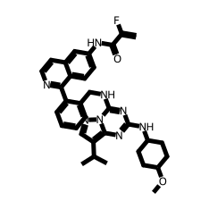 C=C(F)C(=O)Nc1ccc2c(-c3ccccc3CNc3nc(NC4CCC(OC)CC4)nc4c(C(C)C)cnn34)nccc2c1